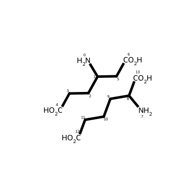 NC(CCC(=O)O)CC(=O)O.NC(CCCC(=O)O)C(=O)O